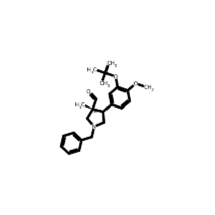 COc1ccc(C2CN(Cc3ccccc3)C[C@]2(C)C=O)cc1OC(C)(C)C